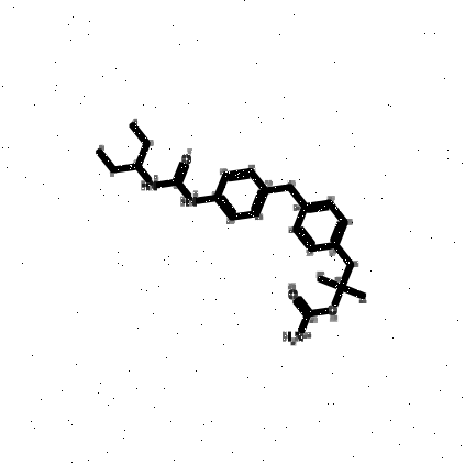 CCC(CC)NC(=O)Nc1ccc(Cc2ccc(CC(C)(C)OC(N)=O)cc2)cc1